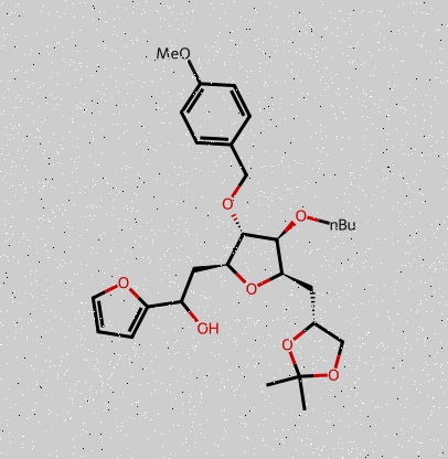 CCCCO[C@@H]1[C@@H](OCc2ccc(OC)cc2)[C@H](CC(O)c2ccco2)O[C@@H]1C[C@@H]1COC(C)(C)O1